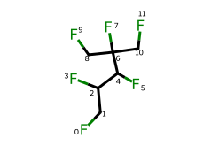 FCC(F)C(F)C(F)(CF)CF